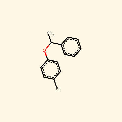 CCc1ccc(OC(C)c2ccccc2)cc1